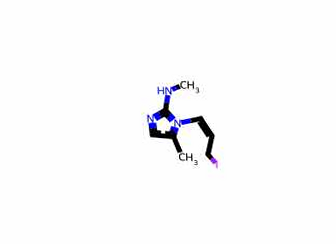 CNc1ncc(C)n1/C=C\CI